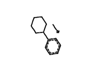 CBr.c1ccc(C2CCCCC2)cc1